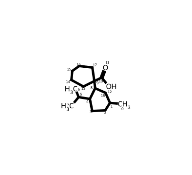 CC1CCC(C(C)C)C(C2(C(=O)O)CCCCC2)C1